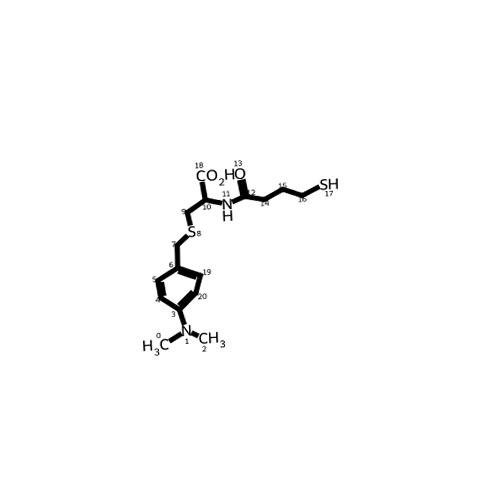 CN(C)c1ccc(CSCC(NC(=O)CCCS)C(=O)O)cc1